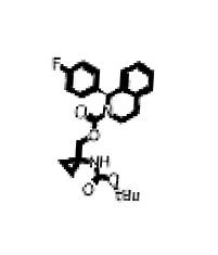 CC(C)(C)OC(=O)NC1(COC(=O)N2CCc3ccccc3[C@@H]2c2ccc(F)cc2)CC1